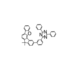 CC1(C)c2ccc(-c3cccc(-c4nc(-c5ccccc5)nc(-c5ccccc5)n4)c3)cc2-c2c1ccc1c2oc2ccccc21